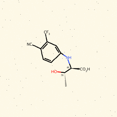 C[C@H](O)[C@@H](Nc1ccc(C#N)c(C(F)(F)F)c1)C(=O)O